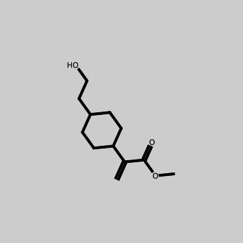 C=C(C(=O)OC)C1CCC(CCO)CC1